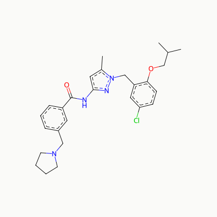 Cc1cc(NC(=O)c2cccc(CN3CCCC3)c2)nn1Cc1cc(Cl)ccc1OCC(C)C